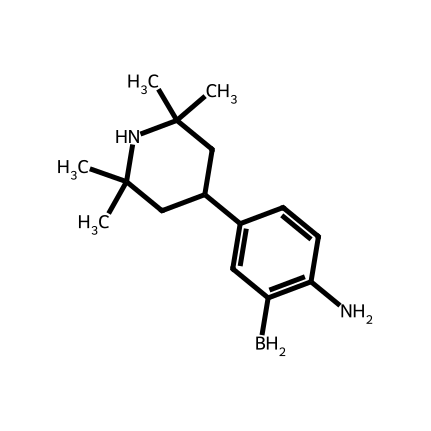 Bc1cc(C2CC(C)(C)NC(C)(C)C2)ccc1N